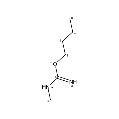 CCCCOC(=N)NC